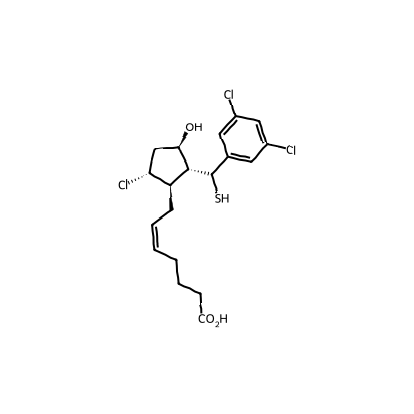 O=C(O)CCC/C=C\C[C@@H]1[C@@H](C(S)c2cc(Cl)cc(Cl)c2)[C@H](O)C[C@H]1Cl